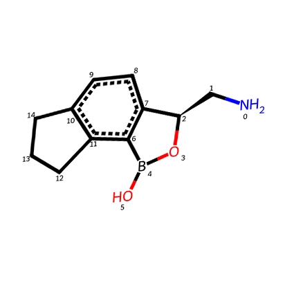 NC[C@H]1OB(O)c2c1ccc1c2CCC1